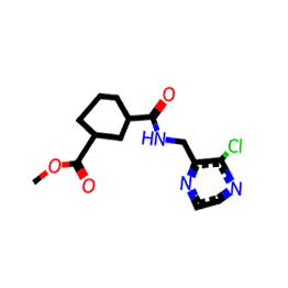 COC(=O)C1CCCC(C(=O)NCc2nccnc2Cl)C1